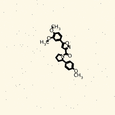 COc1ccc(C2CCCN2C(=O)c2cc(-c3ccc(OC)c(OC)c3)on2)cc1